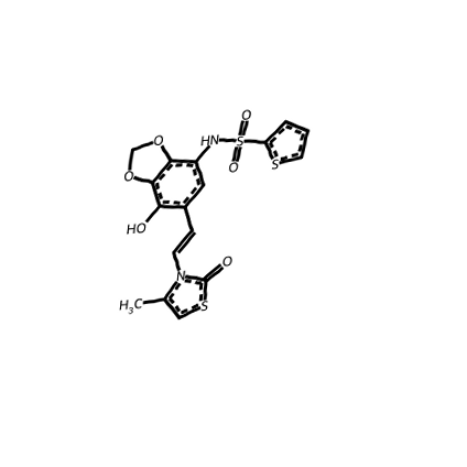 Cc1csc(=O)n1C=Cc1cc(NS(=O)(=O)c2cccs2)c2c(c1O)OCO2